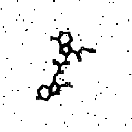 Cc1sc2c(c1CNC(=O)Nc1sc3c(c1C(=O)OC(C)(C)C)CCOC3F)CCNC2